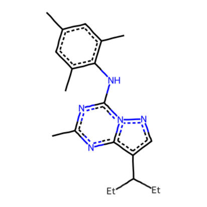 CCC(CC)c1cnn2c(Nc3c(C)cc(C)cc3C)nc(C)nc12